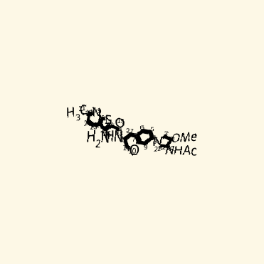 CO[C@H]1CN(c2ccc3c(c2)OC[C@H](NC(=O)c2sc4nc(C)ccc4c2N)C3)C[C@@H]1NC(C)=O